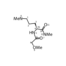 CNCCC[C@H](NC(=O)COC)C(=O)NC